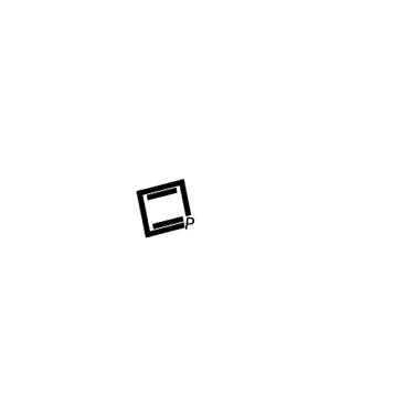 C1=CP=C1